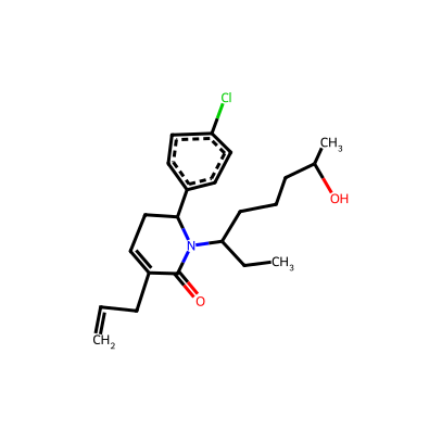 C=CCC1=CCC(c2ccc(Cl)cc2)N(C(CC)CCCC(C)O)C1=O